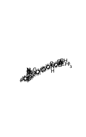 Cc1cc(N2CCN(c3ccc(C(=O)Nc4ccc(S(=O)(=O)N(C)C)cc4)cc3)CC2)ccc1OC[C@@H]1CO[C@@](Cn2cncn2)(c2ccc(F)cc2F)C1